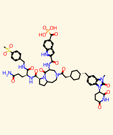 Cn1c(=O)n(C2CCC(=O)NC2=O)c2ccc(C[C@H]3CC[C@H](CC(=O)N4CCC5CC[C@@H](C(=O)N[C@@H](CCC(N)=O)C(=O)NCc6ccc(S(C)(=O)=O)cc6)N5C(=O)[C@@H](NC(=O)c5cc6cc(C(=O)P(=O)(O)O)ccc6[nH]5)C4)CC3)cc21